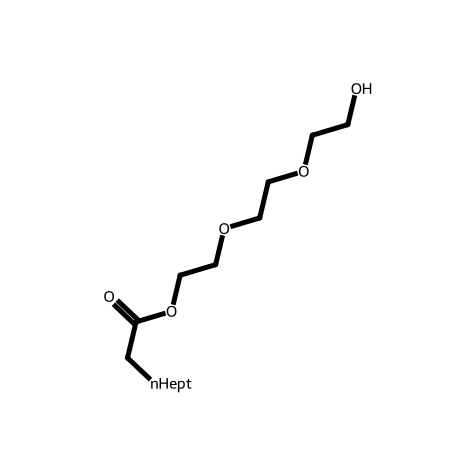 CCCCCCCCC(=O)OCCOCCOCCO